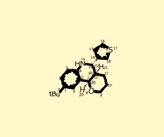 CC(C)(C)c1ccc2c(c1)[C@@H]1OCCC[C@@H]1[C@@H](c1ccsc1)N2